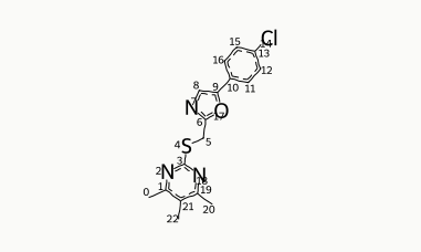 Cc1nc(SCc2ncc(-c3ccc(Cl)cc3)o2)nc(C)c1C